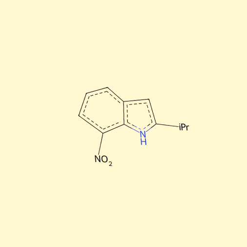 CC(C)c1cc2cccc([N+](=O)[O-])c2[nH]1